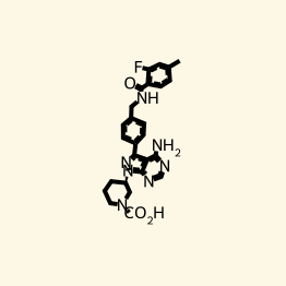 Cc1ccc(C(=O)NCc2ccc(-c3nn([C@@H]4CCCN(C(=O)O)C4)c4ncnc(N)c34)cc2)c(F)c1